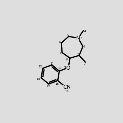 CC1CN(C)CCCC1Oc1ccccc1C#N